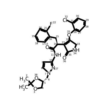 CC1(C)OC[C@@H](Cn2ccc(NC(=O)[C@@H](Cc3ccccc3F)C3=C(Oc4ccccc4Cl)CNC3=O)n2)O1